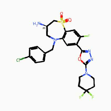 N[C@@H]1CN(Cc2ccc(Cl)cc2)c2cc(-c3nnc(N4CCC(F)(F)CC4)o3)c(F)cc2S(=O)(=O)C1